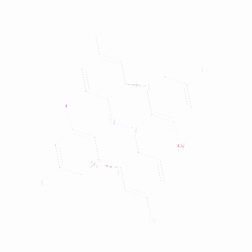 Brc1cc(Br)c(N(c2c(Br)cc(Br)cc2Br)N(c2c(I)cc(I)cc2I)c2c(I)cc(I)cc2I)c(Br)c1